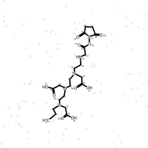 CCCN(CCN(CCN(CCNCC(=O)ON1C(=O)CCC1=O)CC(=O)O)CC(=O)O)CC(=O)O